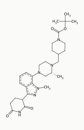 C[C@@H]1CN(c2cccc3c(C4CCC(=O)NC4=O)nn(C)c23)CCN1CC1CCN(C(=O)OC(C)(C)C)CC1